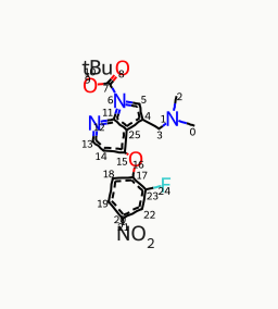 CN(C)Cc1cn(C(=O)OC(C)(C)C)c2nccc(Oc3ccc([N+](=O)[O-])cc3F)c12